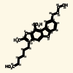 Cc1oc2c(S(=O)(=O)O)c3c(cc2[n+]1CCCCCC(=O)O)oc1ccc(SOOO)cc13